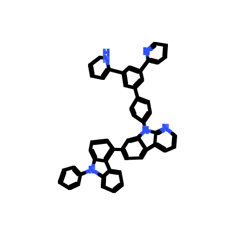 C1=CCNC(c2cc(-c3ccc(-n4c5cc(-c6cccc7c6c6ccccc6n7-c6ccccc6)ccc5c5cccnc54)cc3)cc(-c3ccccn3)c2)=C1